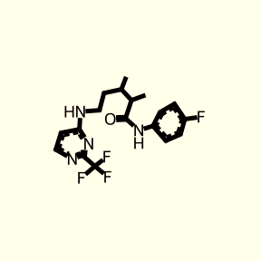 CC(CCNc1ccnc(C(F)(F)F)n1)C(C)C(=O)Nc1ccc(F)cc1